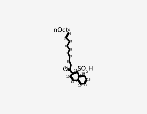 CCCCCCCCC=CCCCCCCCC(=O)c1ccc2ccccc2c1S(=O)(=O)O